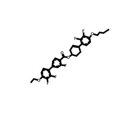 CCCCOc1ccc(C2=CCC(OC(=O)c3ccc(-c4ccc(OCC)c(F)c4F)cc3F)CC2)c(F)c1F